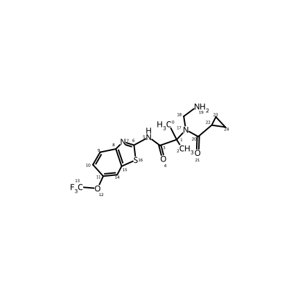 CC(C)(C(=O)Nc1nc2ccc(OC(F)(F)F)cc2s1)N(CN)C(=O)C1CC1